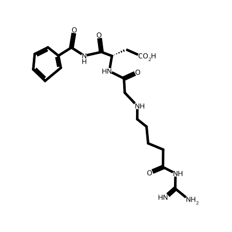 N=C(N)NC(=O)CCCCNCC(=O)N[C@@H](CC(=O)O)C(=O)NC(=O)c1ccccc1